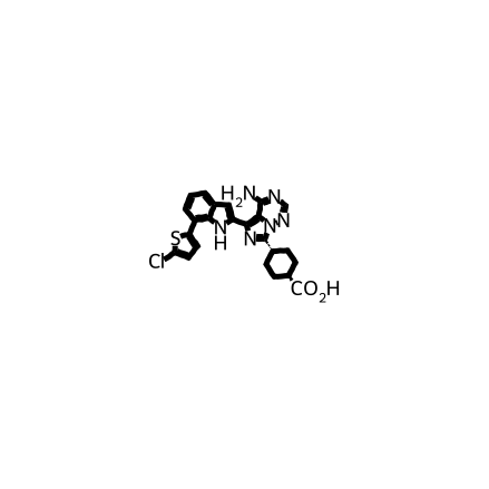 Nc1ncnn2c1c(-c1cc3cccc(-c4ccc(Cl)s4)c3[nH]1)nc2[C@H]1CC[C@H](C(=O)O)CC1